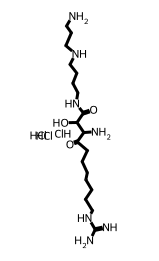 Cl.Cl.Cl.N=C(N)NCCCCCCCC(=O)C(N)C(O)C(=O)NCCCCNCCCN